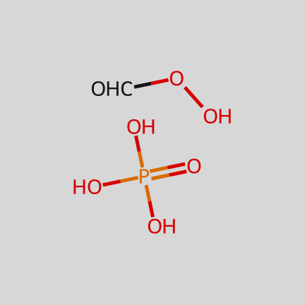 O=COO.O=P(O)(O)O